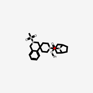 CC(C)OC(=O)N1C2CCC1CC(N1CCC3(CC1)CN(S(C)(=O)=O)Cc1ccccc13)C2